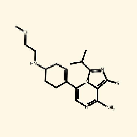 COCCNC1CC=C(c2cnc(N)c3c(Br)nc(C(C)C)n23)CC1